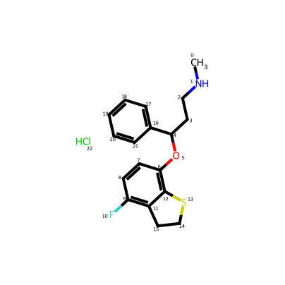 CNCCC(Oc1ccc(F)c2c1SCC2)c1ccccc1.Cl